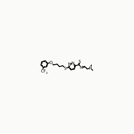 CN(C)CC=NC(=S)c1ccc(SCCCCOc2cccc(C(F)(F)F)c2)nn1